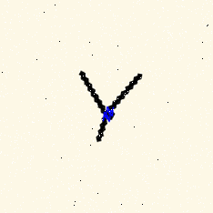 CCCCCCCCCCCCCCCC1N(CCCCCCCC)C=CN1CCCCCCCCCCCCCCC